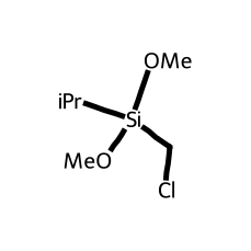 CO[Si](CCl)(OC)C(C)C